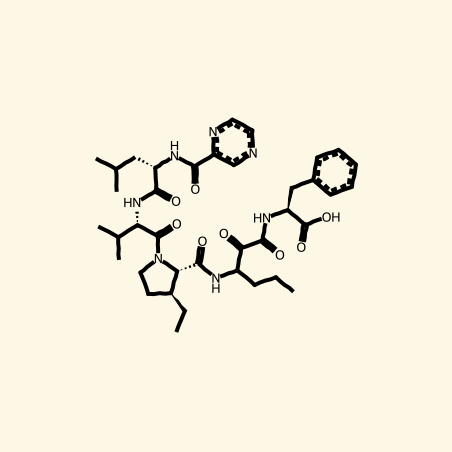 CCCC(NC(=O)[C@@H]1[C@@H](CC)CCN1C(=O)[C@@H](NC(=O)[C@H](CC(C)C)NC(=O)c1cnccn1)C(C)C)C(=O)C(=O)N[C@@H](Cc1ccccc1)C(=O)O